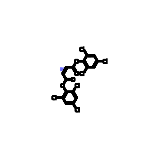 O=C(/C=C\C(=O)Oc1c(Cl)cc(Cl)cc1Cl)Oc1c(Cl)cc(Cl)cc1Cl